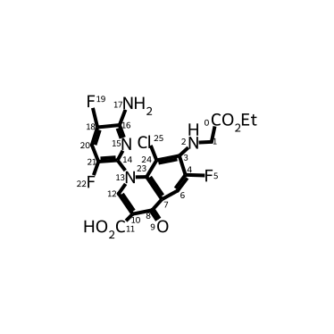 CCOC(=O)CNc1c(F)cc2c(=O)c(C(=O)O)cn(-c3nc(N)c(F)cc3F)c2c1Cl